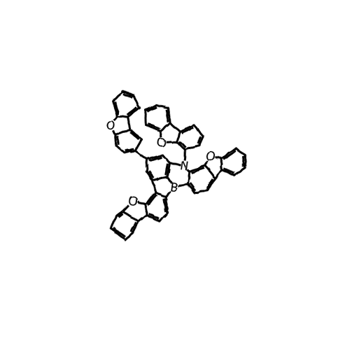 c1ccc2c(c1)oc1ccc(-c3cc4c5c(c3)N(c3cccc6c3oc3ccccc36)c3c(ccc6c3oc3ccccc36)B5c3ccc5c(oc6ccccc65)c3-4)cc12